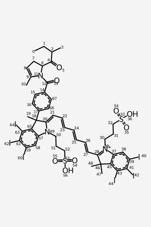 CCC(C)C(=O)C1CC=C(C)N1C(=O)c1ccc(C2(C)/C(=C/C=C/C=C/C=C/C3=[N+](CCCS(=O)(=O)O)c4cc(I)c(I)c(I)c4C3(C)C)N(CCCS(=O)(=O)O)c3cc(I)c(I)c(I)c32)cc1